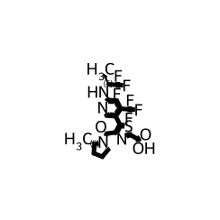 CC[C@H](Nc1cc(C(F)(F)F)c(-c2sc(C(=O)O)nc2C(=O)N2CCC[C@@H]2C)cn1)C(F)(F)F